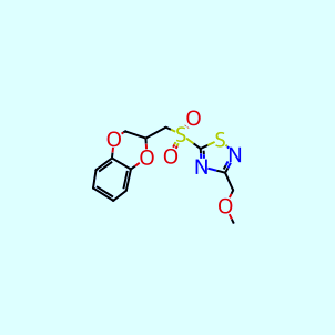 COCc1nsc(S(=O)(=O)CC2COc3ccccc3O2)n1